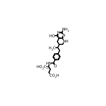 CC(Cc1ccc(C(=O)N[C@@H](CCC(=O)O)C(=O)O)cc1)C1CNc2nc(N)nc(O)c2C1